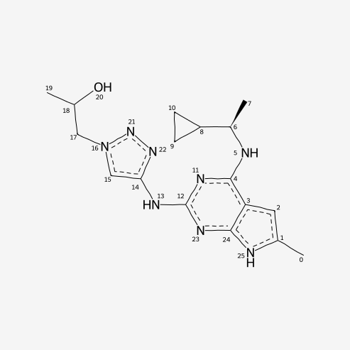 Cc1cc2c(N[C@H](C)C3CC3)nc(Nc3cn(CC(C)O)nn3)nc2[nH]1